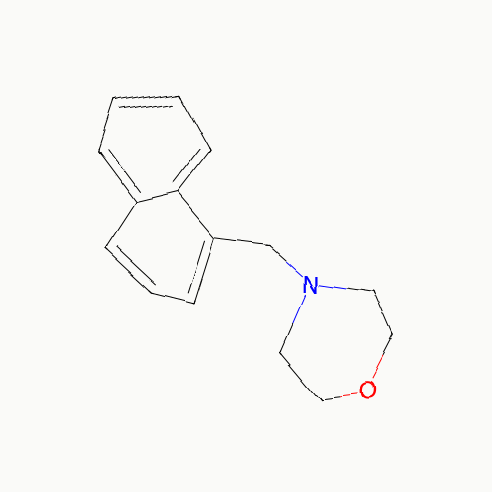 c1ccc2c(CN3CCOCC3)cccc2c1